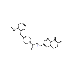 C=C1CCc2cc(/C=C/C(=O)N3CC=C(Cc4ccccc4OC)CC3)cnc2N1